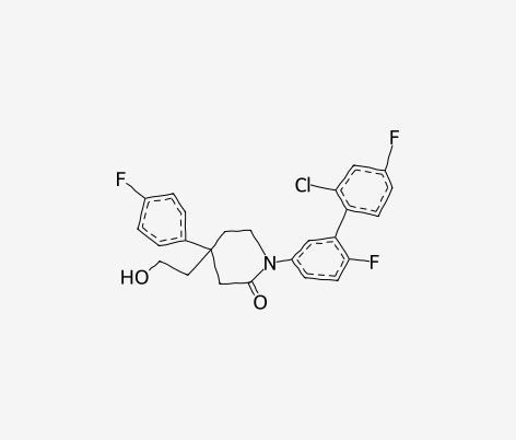 O=C1CC(CCO)(c2ccc(F)cc2)CCN1c1ccc(F)c(-c2ccc(F)cc2Cl)c1